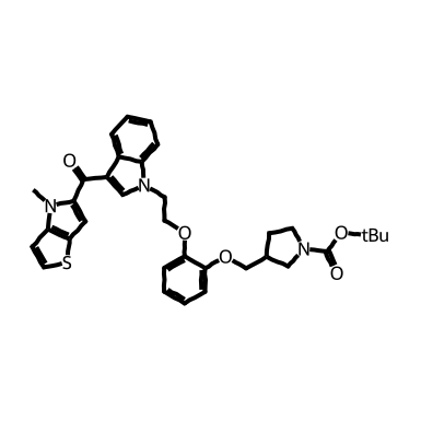 Cn1c(C(=O)c2cn(CCOc3ccccc3OCC3CCN(C(=O)OC(C)(C)C)C3)c3ccccc23)cc2sccc21